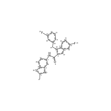 Cc1nc2cc(NC(=O)c3cc4cc(F)ncc4n3Cc3cccc(F)c3)ccc2s1